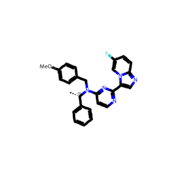 COc1ccc(CN(c2ccnc(-c3cnc4ccc(F)cn34)n2)[C@@H](C)c2ccccc2)cc1